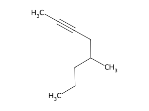 CC#CCC(C)CCC